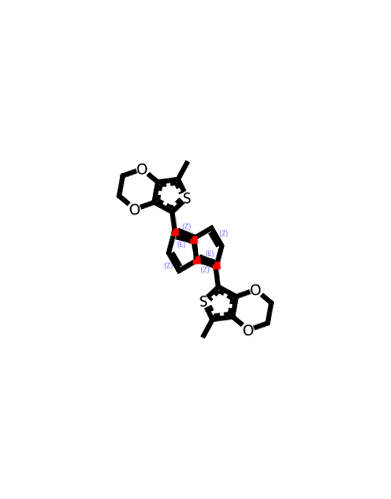 Cc1sc(/C=C/C2=C\C=C/C(/C=C/c3sc(C)c4c3OCCO4)=C/C=C\2)c2c1OCCO2